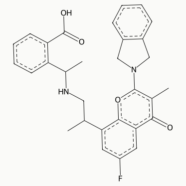 Cc1c(N2Cc3ccccc3C2)oc2c(C(C)CNC(C)c3ccccc3C(=O)O)cc(F)cc2c1=O